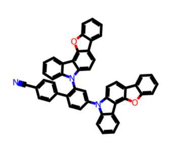 N#Cc1ccc(-c2ccc(-n3c4ccccc4c4c5oc6ccccc6c5ccc43)cc2-n2c3ccccc3c3c4oc5ccccc5c4ccc32)cc1